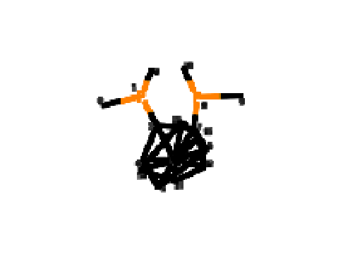 CP(C)[C]12[CH]3[CH]4[CH]5[C]1(P(C)C)[Ni]43521678[CH]2[CH]1[CH]6[CH]7[CH]28